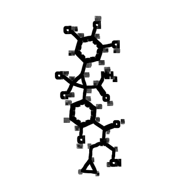 N#CCN(CC1CC1)C(=O)c1cc(C2(C(N)=O)C(c3cc(Cl)c(Cl)c(Cl)c3)C2(Cl)Cl)ccc1Cl